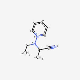 CCN(C(C)C#N)[n+]1ccccc1